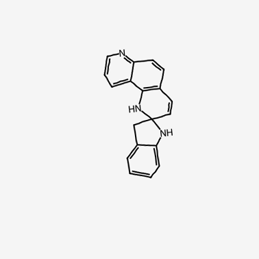 C1=CC2(Cc3ccccc3N2)Nc2c1ccc1ncccc21